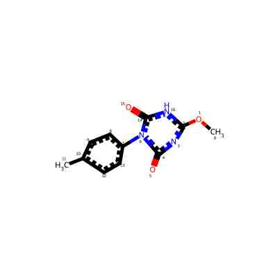 COc1nc(=O)n(-c2ccc(C)cc2)c(=O)[nH]1